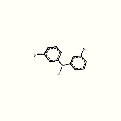 ClP(c1cccc(Br)c1)c1cccc(Br)c1